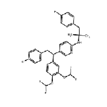 CC(C)(Cc1ccc(F)cc1)Nc1ccc(C(Cc2cc[n+]([O-])cc2)c2ccc(OC(F)F)c(OC(F)F)c2)cn1